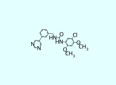 COc1cc(OC)c(NC(=O)NCc2cccc(-c3cncnc3)c2)cc1Cl